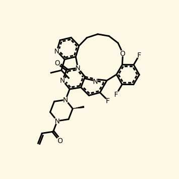 C=CC(=O)N1CCN(c2nc(=O)n3c4nc(c(F)cc24)-c2c(F)ccc(F)c2OCCCCc2ccnc(C(C)C)c2-3)[C@@H](C)C1